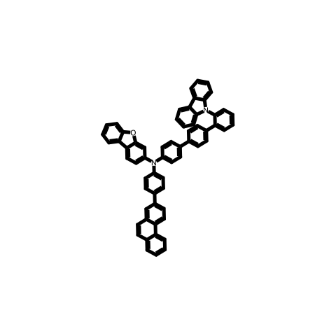 c1ccc(-n2c3ccccc3c3ccccc32)c(-c2ccc(-c3ccc(N(c4ccc(-c5ccc6c(ccc7ccccc76)c5)cc4)c4ccc5c(c4)oc4ccccc45)cc3)cc2)c1